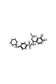 CN(C)CC(NS(=O)(=O)c1ccc(NC2CCCCC2)cc1)c1ccc(Cl)c(Cl)c1